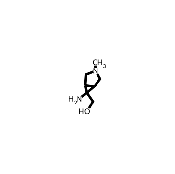 CN1CC2C(C1)C2(N)CO